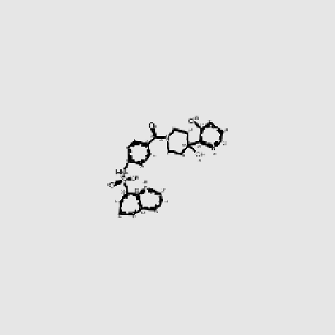 O=C(c1ccc(NS(=O)(=O)c2cccc3cccnc23)cc1)N1CCC(O)(c2ncccc2Cl)CC1